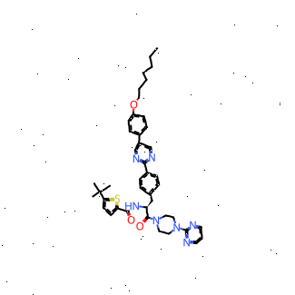 CCCCCCCOc1ccc(-c2cnc(-c3ccc(C[C@H](NC(=O)c4ccc(C(C)(C)C)s4)C(=O)N4CCN(c5ncccn5)CC4)cc3)nc2)cc1